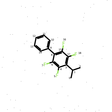 CC(C)c1c(F)c(F)c(-c2ccccc2)c(F)c1F